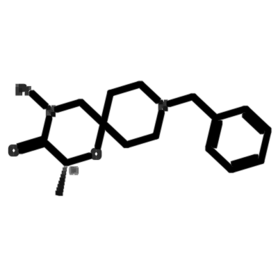 CC(C)N1CC2(CCN(Cc3ccccc3)CC2)O[C@H](C)C1=O